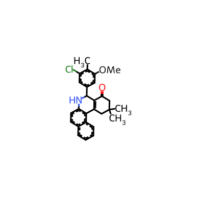 COc1cc(C2Nc3ccc4ccccc4c3C3=C2C(=O)CC(C)(C)C3)cc(Cl)c1C